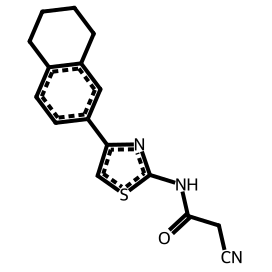 N#CCC(=O)Nc1nc(-c2ccc3c(c2)CCCC3)cs1